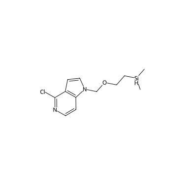 C[SiH](C)CCOCn1ccc2c(Cl)nccc21